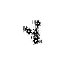 FC(F)(F)c1ccc(Nc2nc(NCC3CCCNC3)nc3sc(Cc4c(Cl)cccc4Cl)nc23)cc1